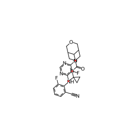 CC1(OC(=O)N2CC3COCC(C2)C3Oc2ncnc(Nc3c(F)cccc3C#N)c2F)CC1